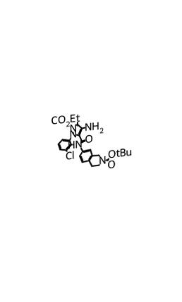 CCOC(=O)c1nn(-c2cccc(Cl)c2)c(C(=O)Nc2ccc3c(c2)CN(C(=O)OC(C)(C)C)CC3)c1N